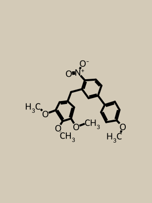 COc1ccc(-c2ccc([N+](=O)[O-])c(Cc3cc(OC)c(OC)c(OC)c3)c2)cc1